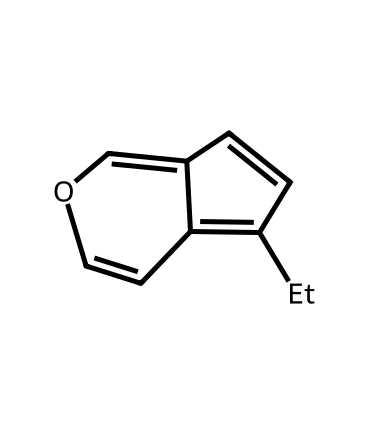 [CH2]Cc1ccc2coccc1-2